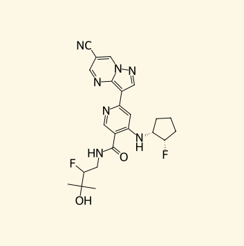 CC(C)(O)C(F)CNC(=O)c1cnc(-c2cnn3cc(C#N)cnc23)cc1N[C@@H]1CCC[C@@H]1F